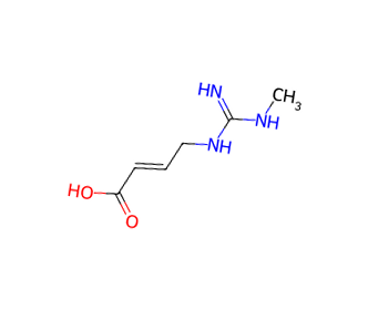 CNC(=N)NC/C=C/C(=O)O